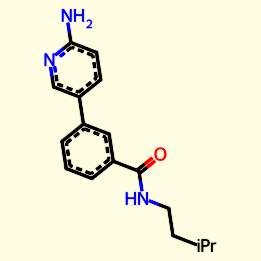 CC(C)CCNC(=O)c1cccc(-c2ccc(N)nc2)c1